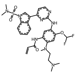 C=CC(=O)Nc1cc(Nc2nccc(-c3cn(S(=O)(=O)N(C)C)c4ccccc34)n2)c(OC(F)F)cc1N(C)CCN(C)C